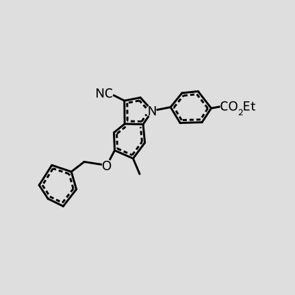 CCOC(=O)c1ccc(-n2cc(C#N)c3cc(OCc4ccccc4)c(C)cc32)cc1